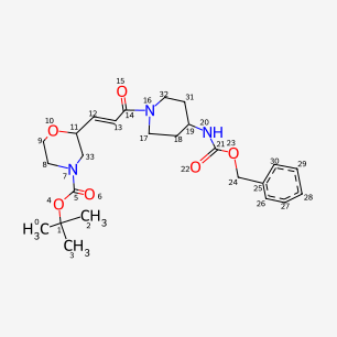 CC(C)(C)OC(=O)N1CCOC(/C=C/C(=O)N2CCC(NC(=O)OCc3ccccc3)CC2)C1